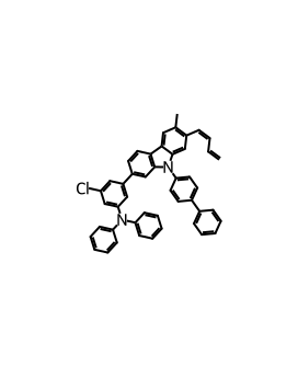 C=C/C=C\c1cc2c(cc1C)c1ccc(-c3cc(Cl)cc(N(c4ccccc4)c4ccccc4)c3)cc1n2-c1ccc(-c2ccccc2)cc1